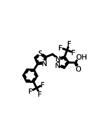 O=C(O)c1cnn(Cc2nc(-c3cccc(C(F)(F)F)c3)cs2)c1C(F)(F)F